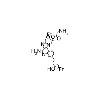 CCOCc1nc2c(N)nc3cc(CCC(O)OCC)ccc3c2n1CC(C)(C)OC(=O)CN